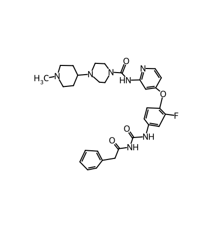 CN1CCC(N2CCN(C(=O)Nc3cc(Oc4ccc(NC(=O)NC(=O)Cc5ccccc5)cc4F)ccn3)CC2)CC1